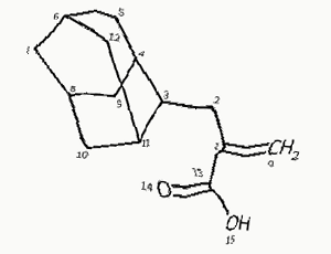 C=C(CC1C2CC3CC(C2)CC1C3)C(=O)O